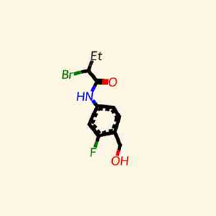 CCC(Br)C(=O)Nc1ccc(CO)c(F)c1